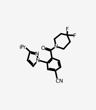 CC(C)c1ccn(-c2cc(C#N)ccc2C(=O)N2CCC(F)(F)CC2)n1